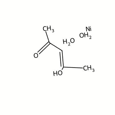 CC(=O)/C=C(/C)O.O.O.[Ni]